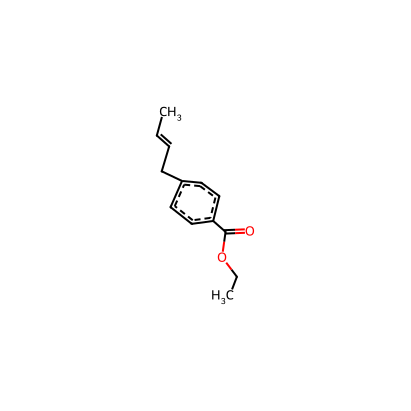 C/C=C/Cc1ccc(C(=O)OCC)cc1